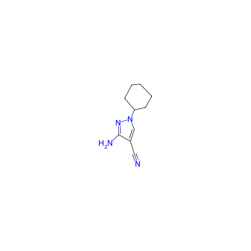 N#Cc1cn(C2CCCCC2)nc1N